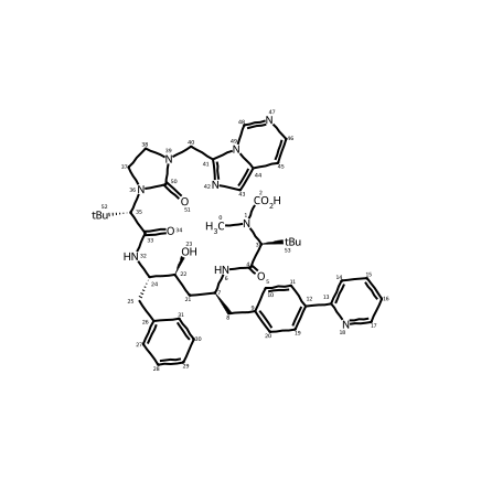 CN(C(=O)O)[C@H](C(=O)N[C@@H](Cc1ccc(-c2ccccn2)cc1)C[C@H](O)[C@H](Cc1ccccc1)NC(=O)[C@@H](N1CCN(Cc2ncc3ccncn23)C1=O)C(C)(C)C)C(C)(C)C